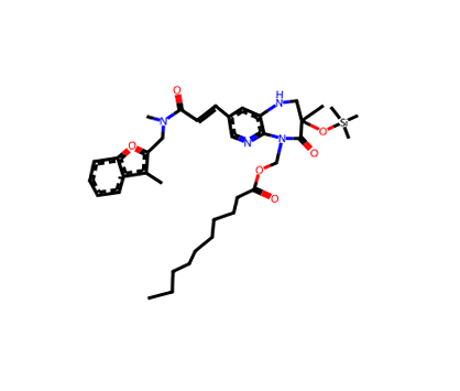 CCCCCCCCCC(=O)OCN1C(=O)C(C)(O[Si](C)(C)C)CNc2cc(/C=C/C(=O)N(C)Cc3oc4ccccc4c3C)cnc21